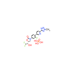 Cn1nnc(-c2ccc(-c3ccc(N4C[C@H](C(O)C(F)F)OC4=O)cc3F)cn2)n1.O=P(O)(O)O